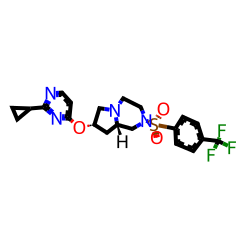 O=S(=O)(c1ccc(C(F)(F)F)cc1)N1CCN2C[C@@H](Oc3ccnc(C4CC4)n3)C[C@H]2C1